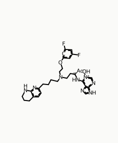 CC(=O)[C@H](CCN(CCCCc1ccc2c(n1)NCCC2)CCOc1cc(F)cc(F)c1)Nc1c2nc[nH]c2nc[n+]1O